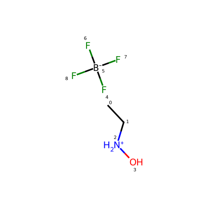 CC[NH2+]O.F[B-](F)(F)F